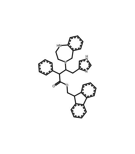 O=C(OCC1c2ccccc2-c2ccccc21)C(c1ccccc1)C(Cc1c[nH]cn1)N1CCNc2ccccc2C1